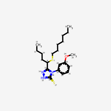 CCCCCCCSC(CCCC)c1n[nH]c(=S)n1-c1cccc(OC)c1